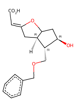 O=C(O)C=C1C[C@H]2C(C[C@@H](O)[C@@H]2COCc2ccccc2)O1